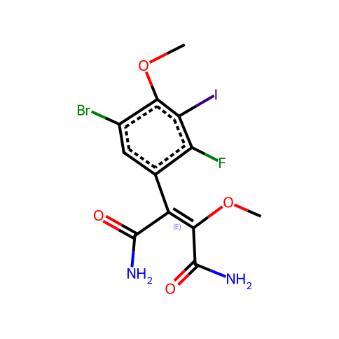 CO/C(C(N)=O)=C(/C(N)=O)c1cc(Br)c(OC)c(I)c1F